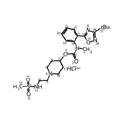 CN(C(=O)OC1CCN(CCNS(C)(=O)=O)CC1)c1ccccc1-c1nc(C(C)(C)C)no1.Cl